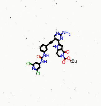 Cn1c(-c2nc(N)ncc2C#Cc2cccc(NC(=O)Nc3cc(Cl)nc(Cl)c3)c2)cc2c1CCN(C(=O)OC(C)(C)C)C2=O